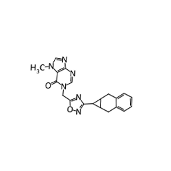 Cn1cnc2ncn(Cc3nc(C4C5Cc6ccccc6CC54)no3)c(=O)c21